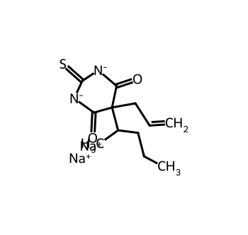 C=CCC1(C(C)CCC)C(=O)[N-]C(=S)[N-]C1=O.[Na+].[Na+]